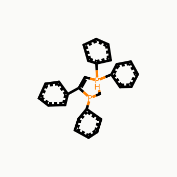 C1=C(c2ccccc2)P(c2ccccc2)C[PH]1(c1ccccc1)c1ccccc1